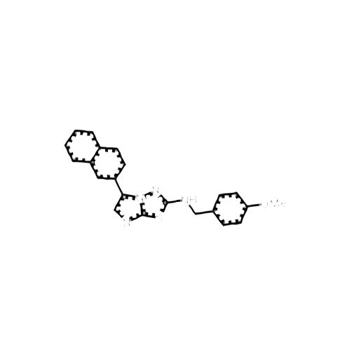 COc1ccc(CNc2nn3c(-c4ccc5ccccc5c4)cnc3s2)cc1